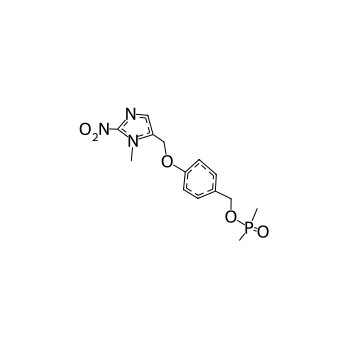 Cn1c(COc2ccc(COP(C)(C)=O)cc2)cnc1[N+](=O)[O-]